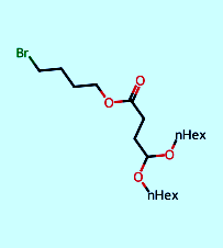 CCCCCCOC(CCC(=O)OCCCCBr)OCCCCCC